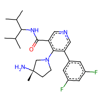 CC(C)C(NC(=O)c1cncc(-c2cc(F)cc(F)c2)c1N1CC[C@](C)(N)C1)C(C)C